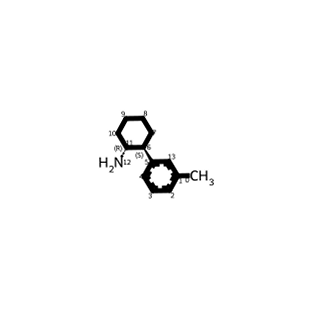 Cc1cccc([C@@H]2CCCC[C@H]2N)c1